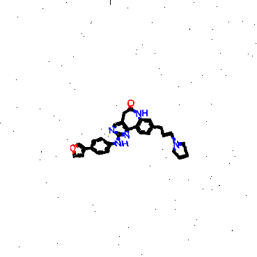 O=C1Cc2cnc(Nc3ccc(-c4ccoc4)cc3)nc2-c2ccc(CCCN3CCCC3)cc2N1